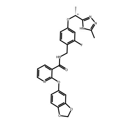 Cc1nnc([C@@H](C)Oc2ccc(CNC(=O)c3cccnc3Oc3ccc4c(c3)OCO4)c(F)c2)[nH]1